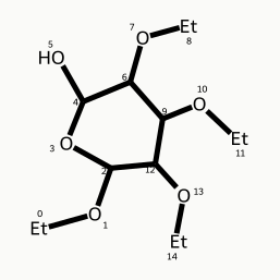 CCOC1OC(O)C(OCC)C(OCC)C1OCC